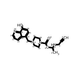 C#CCNC(C)OC(=O)N1CCN(Cc2ccc(O)c3ncccc23)CC1